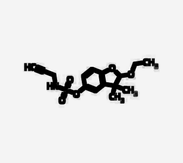 C#CCNS(=O)(=O)Oc1ccc2c(c1)C(C)(C)C(OCC)O2